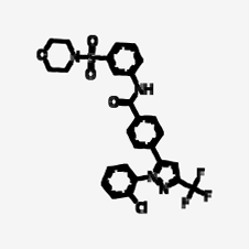 O=C(Nc1cccc(S(=O)(=O)N2CCOCC2)c1)c1ccc(-c2cc(C(F)(F)F)nn2-c2ccccc2Cl)cc1